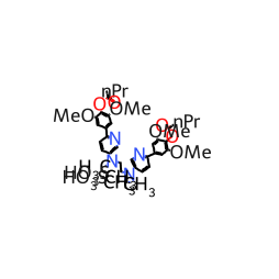 CCCC(=O)Oc1c(OC)cc(-c2ccc(N(C)CCN(C)c3ccc(-c4cc(OC)c(OC(=O)CCC)c(OC)c4)nc3)cn2)cc1OC.CS(=O)(=O)O.CS(=O)(=O)O